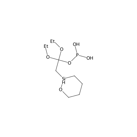 CCOC(C[SiH]1CCCCO1)(OCC)OP(O)O